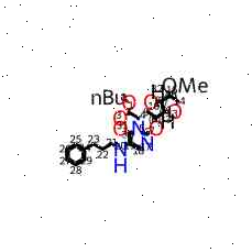 CCCCOC(=O)Cn1c(O[C@@H]2CO[C@H]3[C@@H]2OC[C@H]3OC)ncc(NCCCc2ccccc2)c1=O